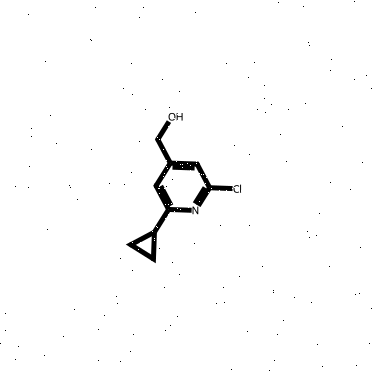 OCc1cc(Cl)nc(C2CC2)c1